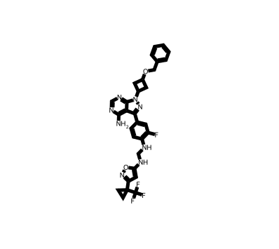 Nc1ncnc2c1c(-c1ccc(NCNc3cc(C4(C(F)(F)F)CC4)no3)c(F)c1)nn2C1CC(OCc2ccccc2)C1